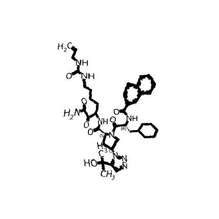 C=CCNC(=O)NCCCCC(NC(=O)[C@@H]1C[C@H](n2nncc2C(C)(C)O)CN1C(=O)[C@@H](CC1CCCCC1)NC(=O)c1ccc2ccccc2c1)C(=O)C(N)=O